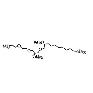 CCCCCCCCCCCCCCCCCCC(COCC(COCCOCCO)OC)OC